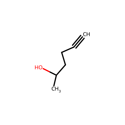 C#CCCC(C)O